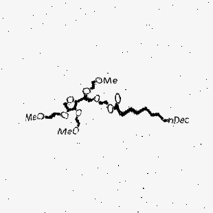 CCCCCCCCCCCCCCCCCC(=O)OCCOCC(OCCOC)C1OCC(OCCOC)C1OCCOC